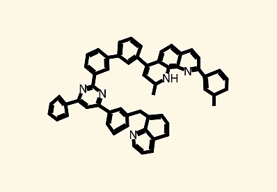 CC1C=C(c2ccc3ccc4c(c3n2)NC(C)C=C4c2cccc(-c3cccc(-c4nc(-c5ccccc5)cc(-c5cccc(Cc6cccc7cccnc67)c5)n4)c3)c2)C=CC1